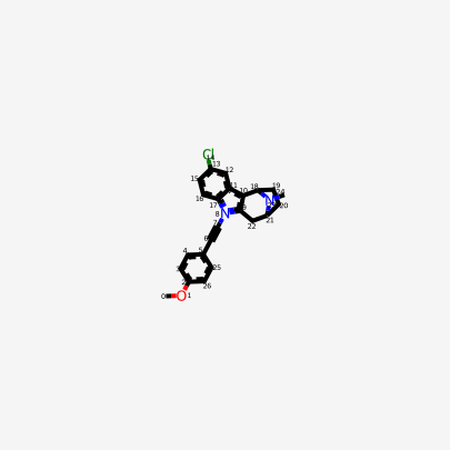 COc1ccc(C#Cn2c3c(c4cc(Cl)ccc42)C2CCC(C3)N2C)cc1